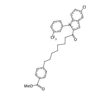 COC(=O)c1ccc(CCCCCCCC(=O)c2cc3cc(Cl)ccc3n2-c2cccc(C(F)(F)F)c2)cc1